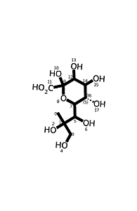 CC(O)(CO)C(O)C1OC(O)(C(=O)O)C(O)C(O)[C@@H]1O